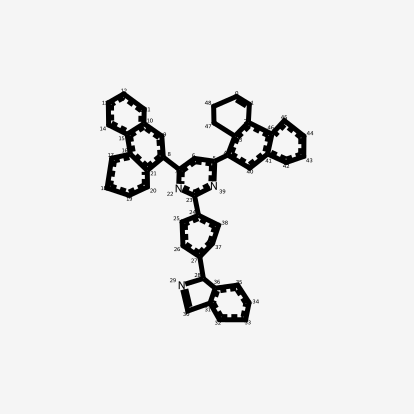 C1=Cc2c(c(-c3cc(-c4cc5ccccc5c5ccccc45)nc(-c4ccc(C5N=Cc6ccccc65)cc4)n3)cc3ccccc23)CC1